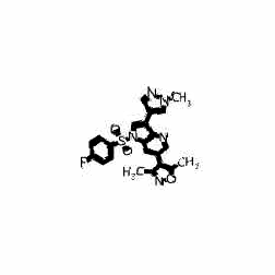 Cc1noc(C)c1-c1cnc2c(-c3cnn(C)c3)cn(S(=O)(=O)c3ccc(F)cc3)c2c1